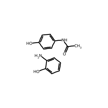 CC(=O)Nc1ccc(O)cc1.Nc1ccccc1O